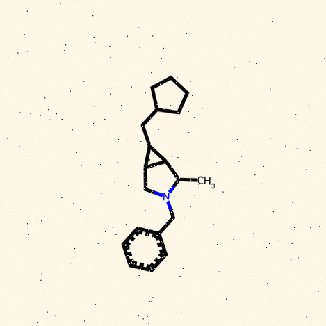 CC1C2C(CC3CCCC3)C2CN1Cc1ccccc1